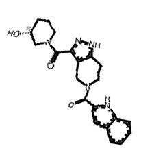 O=C(c1cc2ccccc2[nH]1)N1CCc2[nH]nc(C(=O)N3CCC[C@@H](O)C3)c2C1